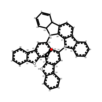 C1=CC2c3ccc4c5ccccc5n(-c5ccc6oc7ccccc7c6c5)c4c3N(c3ccc4oc5ccccc5c4c3)C2C=C1